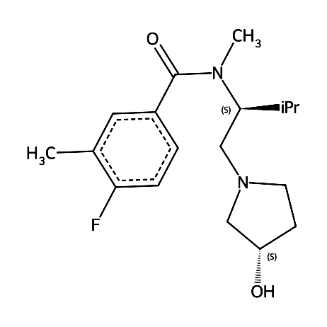 Cc1cc(C(=O)N(C)[C@H](CN2CC[C@H](O)C2)C(C)C)ccc1F